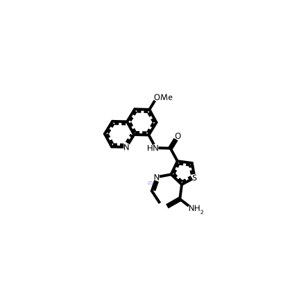 C=C(N)c1scc(C(=O)Nc2cc(OC)cc3cccnc23)c1/N=C\C